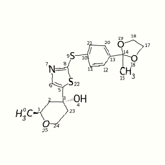 C[C@H]1C[C@@](O)(c2cnc(Sc3ccc(C4(C)OCCO4)cc3)s2)CCO1